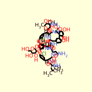 CN[C@H](CC(C)C)C(=O)NC1C(=O)NC(CC(N)=O)C(=O)N[C@H]2C(=O)NC3C(=O)N[C@H](C(=O)N[C@@H](C(=O)O)c4cc(O)cc(O)c4-c4cc3ccc4O)[C@H](OC3CC(C)(N)C(O)C(C)O3)c3ccc(c(Cl)c3)Oc3cc2cc(c3OC2OC(CO)C(O)C(O)C2OC2CC(C)(N)C(O)C(C)O2)Oc2ccc(cc2Cl)[C@H]1O